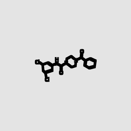 O=C(NC1=CC(Cl)CC(Cl)=C1)N1CCN(C(=O)c2ccccc2)CC1